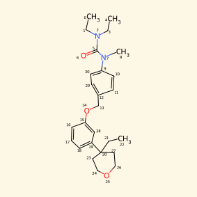 CCN(CC)C(=O)N(C)c1ccc(COc2cccc(C3(CC)CCOCC3)c2)cc1